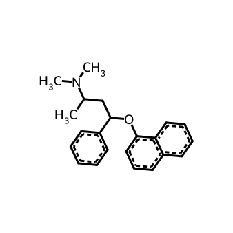 CC(CC(Oc1cccc2ccccc12)c1ccccc1)N(C)C